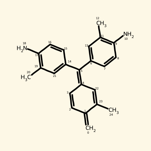 C=c1ccc(=C(c2ccc(N)c(C)c2)c2ccc(N)c(C)c2)cc1C